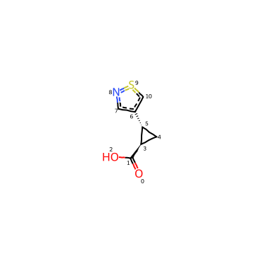 O=C(O)[C@@H]1C[C@H]1c1cnsc1